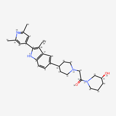 Cc1cc(-c2[nH]c3ccc(C4CCN(CC(=O)N5CCC[C@H](O)C5)CC4)cc3c2C(C)C)cc(C)n1